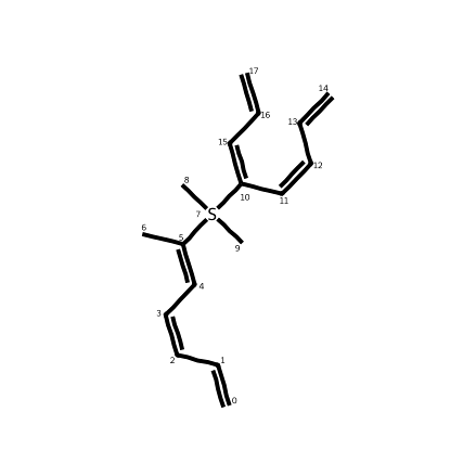 C=C/C=C\C=C(/C)S(C)(C)C(/C=C\C=C)=C/C=C